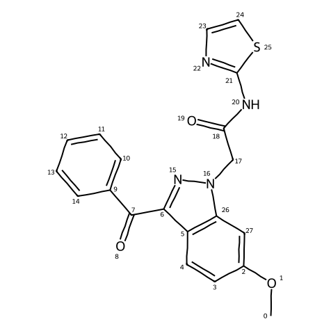 COc1ccc2c(C(=O)c3ccccc3)nn(CC(=O)Nc3nccs3)c2c1